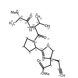 C#CC[C@]1(CC(=O)OC)COC(C2CCCN2C(=O)[C@@H](NC(=O)[C@H](C)NC)C(C)O)=N1